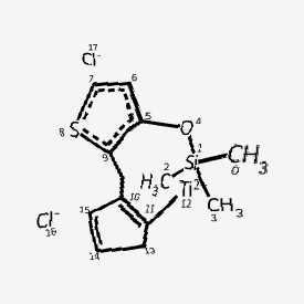 C[Si](C)(C)Oc1ccsc1C1=[C]([Ti+2])CC=C1.[Cl-].[Cl-]